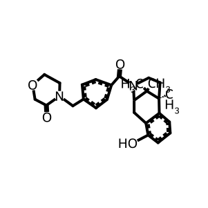 CC1(C)C2Cc3c(O)cccc3[C@]1(C)CCN2C(=O)c1ccc(CN2CCOCC2=O)cc1